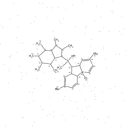 CCCS(C)(C1C(C)C(C)C2C(C)C(C)C(C)C(C)C21)C1C2C=C(C(C)(C)C)C=CC2C2(CC)C=CC(C(C)(C)C)=CC12